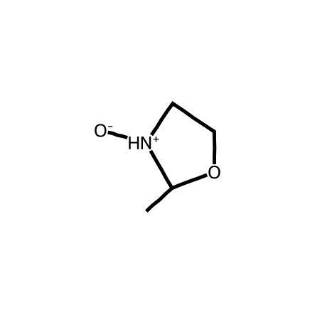 CC1OCC[NH+]1[O-]